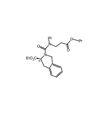 CCOC(=O)[C@@H]1Cc2ccccc2CN1C(=O)N(CCC(=O)OC(C)C)C(C)C